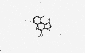 COc1nc2cccc(C)c2c2[nH]cnc12